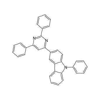 c1ccc(-c2cc(-c3ccc4c(c3)c3ccccc3n4-c3ccccc3)nc(-c3ccccc3)n2)cc1